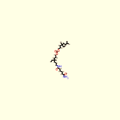 CCC(C)(CCCNC(=O)CCCCC(N)=O)CCCOC(=O)OCCCC(C)(CC)CCC(C)C